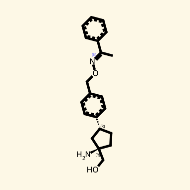 C/C(=N\OCc1ccc([C@@H]2CC[C@](N)(CO)C2)cc1)c1ccccc1